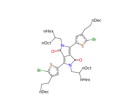 CCCCCCCCCCCCc1cc(C2=C3C(=O)N(CC(CCCCCC)CCCCCCCC)C(c4cc(CCCCCCCCCCCC)c(Br)s4)=C3C(=O)N2CC(CCCCCC)CCCCCCCC)sc1Br